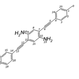 Cc1ccc(C#Cc2cc(N)c(C#Cc3ccc(C)cc3)cc2N)cc1